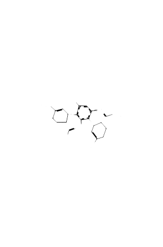 C=C(C)[C@@H]1CCC(C)=C[C@H]1c1c(C)cc(O)c([C@@H]2C=C(C)CC[C@H]2C(=C)C)c1O